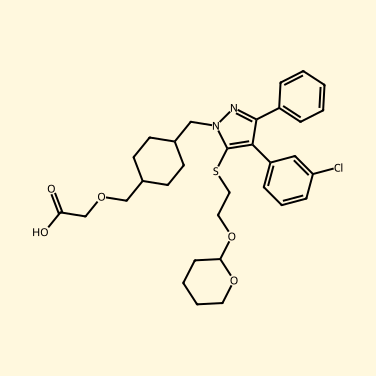 O=C(O)COCC1CCC(Cn2nc(-c3ccccc3)c(-c3cccc(Cl)c3)c2SCCOC2CCCCO2)CC1